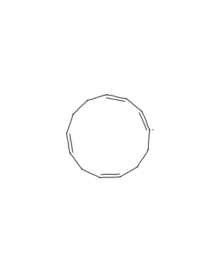 [C]1=CC=CCCC=CCC=CCC1